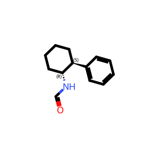 O=CN[C@@H]1CCCC[C@H]1c1ccccc1